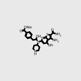 CCCc1cc(N(C(O)Cc2ccc(C(=O)OC)cc2)C2CCNCC2)nc2sc(C(N)=O)c(N)c12